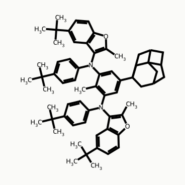 Cc1oc2ccc(C(C)(C)C)cc2c1N(c1ccc(C(C)(C)C)cc1)c1cc(C23CC4CC5CC(C2)C5(C4)C3)cc(N(c2ccc(C(C)(C)C)cc2)c2c(C)oc3ccc(C(C)(C)C)cc23)c1C